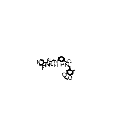 Cc1cc2c(cc1CNC(=O)c1cccc(NCC3N(C)NC(c4ccncc4F)N3C)c1)OCCO2